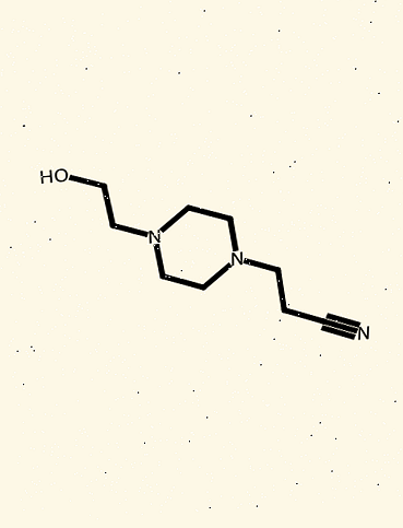 N#CCCN1CCN(CCO)CC1